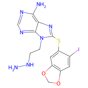 NNCCn1c(Sc2cc3c(cc2I)OCO3)nc2c(N)ncnc21